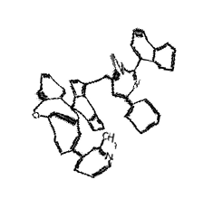 Cc1ncccc1-c1ccc2c(c1)C1(c3ccccc3O2)c2ccccc2-c2c(-c3cc(-c4ccccc4)nc(-c4cccc5ccccc45)n3)cccc21